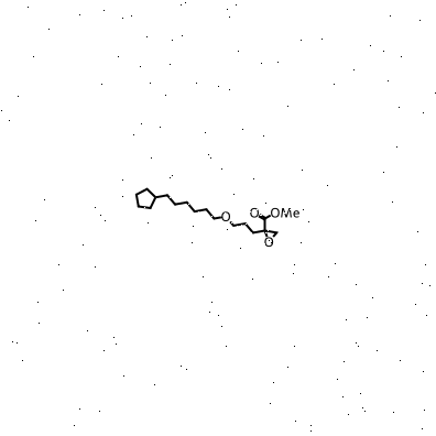 COC(=O)C1(CCCOCCCCCCC2CCCC2)CO1